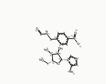 Nc1cncn1[C@@H]1O[C@H](CO)[C@@H](O)[C@H]1O.O=CNCc1ccc([N+](=O)[O-])cc1